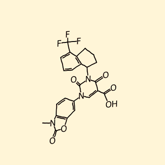 Cn1c(=O)oc2cc(-n3cc(C(=O)O)c(=O)n(C4CCCc5c4cccc5C(F)(F)F)c3=O)ccc21